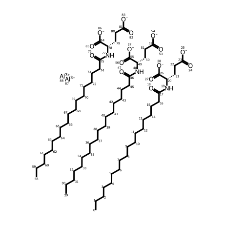 CCCCCCCCCCCCCCCCCC(=O)N[C@@H](CCC(=O)[O-])C(=O)[O-].CCCCCCCCCCCCCCCCCC(=O)N[C@@H](CCC(=O)[O-])C(=O)[O-].CCCCCCCCCCCCCCCCCC(=O)N[C@@H](CCC(=O)[O-])C(=O)[O-].[Al+3].[Al+3]